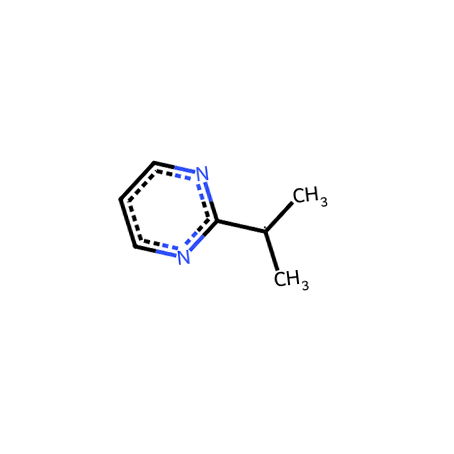 C[C](C)c1ncccn1